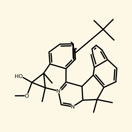 COC1(O)C2(C)c3ccc4cc(C(C)(C)C)ccc4c3C3=[N+](C=NC4C3c3c(ccc5ccccc35)C4(C)C)C12C